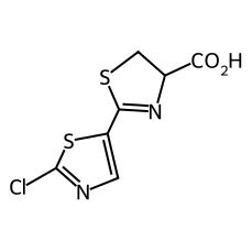 O=C(O)C1CSC(c2cnc(Cl)s2)=N1